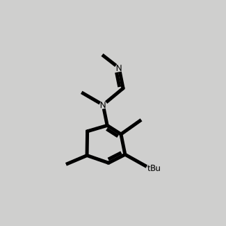 C/N=C\N(C)C1=C(C)C(C(C)(C)C)=CC(C)C1